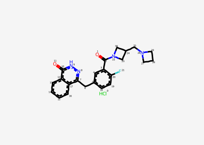 Cl.O=C(c1cc(Cc2n[nH]c(=O)c3ccccc23)ccc1F)N1CC(CN2CCC2)C1